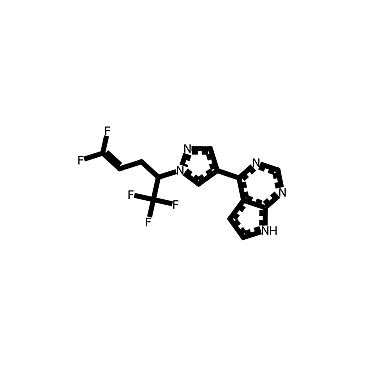 FC(F)=CCC(n1cc(-c2ncnc3[nH]ccc23)cn1)C(F)(F)F